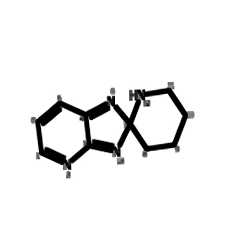 c1cnc2c(c1)=NC1(CCCCN1)N=2